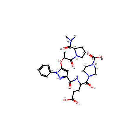 CC(Oc1cc(C(=O)NC(CCC(=O)O)C(=O)N2CCN(C(=O)O)CC2)nn1-c1ccccc1)C(=O)N1CCCC1C(=O)N(C)C